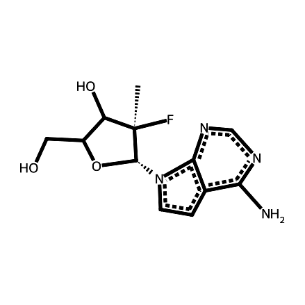 C[C@@]1(F)C(O)C(CO)O[C@H]1n1ccc2c(N)ncnc21